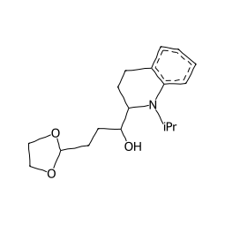 CC(C)N1c2ccccc2CCC1C(O)CCC1OCCO1